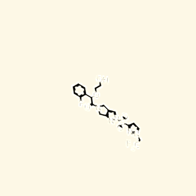 O=C([C@H](OCCO)c1ccccc1F)N1Cc2cn(S(=O)(=O)c3ccn(CC(F)(F)F)n3)nc2C1